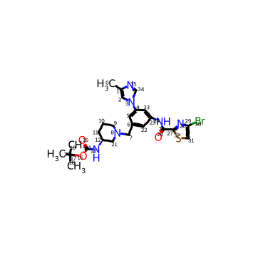 Cc1cn(-c2cc(CN3CCC[C@H](NC(=O)OC(C)(C)C)C3)cc(NC(=O)c3nc(Br)cs3)c2)cn1